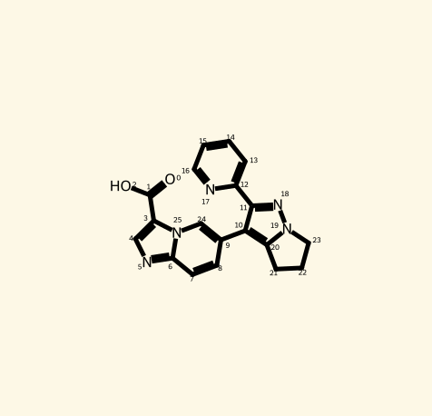 O=C(O)c1cnc2ccc(-c3c(-c4ccccn4)nn4c3CCC4)cn12